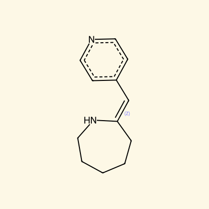 C(=C1\CCCCCN1)/c1ccncc1